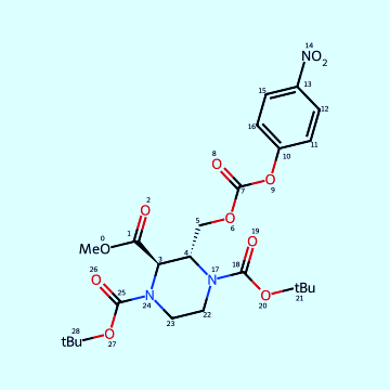 COC(=O)[C@H]1[C@H](COC(=O)Oc2ccc([N+](=O)[O-])cc2)N(C(=O)OC(C)(C)C)CCN1C(=O)OC(C)(C)C